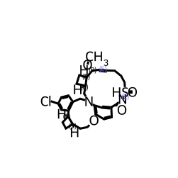 CO[C@H]1/C=C/CCC/[SH](=O)=N\C(=O)c2ccc3c(c2)N(Cc2ccc(Cl)cc2[C@H]2CC[C@H]2CCO3)C[C@@H]2CC[C@H]21